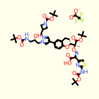 CC(C)(C)OC(=O)NC[C@H](O)Cn1cc(-c2ccc3c(c2)CC[C@H]([C@](C)(O/N=C(\C(=O)O)c2csc(NC(=O)OC(C)(C)C)n2)C(=O)OC(C)(C)C)O3)c[n+]1CC1CN(C(=O)OC(C)(C)C)C1.O=C([O-])C(F)(F)F